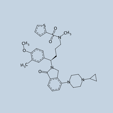 COc1ccc([C@@H](CCCN(C)S(=O)(=O)c2cccs2)N2Cc3c(cccc3N3CCN(C4CC4)CC3)C2=O)cc1C